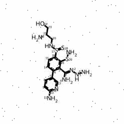 NN/N=C(\N)c1c(-c2ccc(N)nc2)ccc(S(=S)NC[C@H](N)CO)c1SN